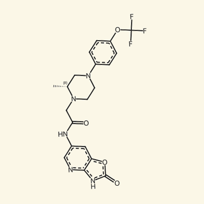 C[C@@H]1CN(c2ccc(OC(F)(F)F)cc2)CCN1CC(=O)Nc1cnc2[nH]c(=O)oc2c1